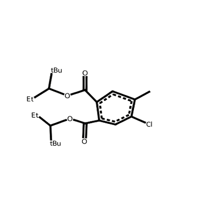 CCC(OC(=O)c1cc(C)c(Cl)cc1C(=O)OC(CC)C(C)(C)C)C(C)(C)C